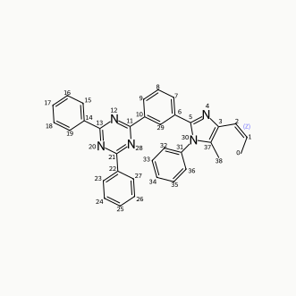 C/C=C\c1nc(-c2cccc(-c3nc(-c4ccccc4)nc(-c4ccccc4)n3)c2)n(-c2ccccc2)c1C